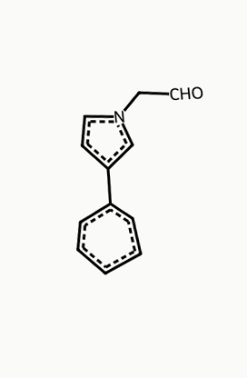 O=CCn1ccc(-c2ccccc2)c1